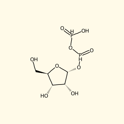 O=[PH](O)O[PH](=O)O[C@H]1O[C@H](CO)[C@@H](O)[C@H]1O